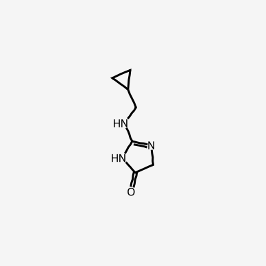 O=C1CN=C(NCC2CC2)N1